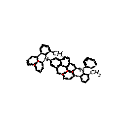 Cc1cccc(-c2ccccc2)c1N(c1ccccc1)c1cc2ccc3cc(N(c4ccccc4)c4c(C)cccc4-c4ccccc4)cc4ccc(c1)c2c34